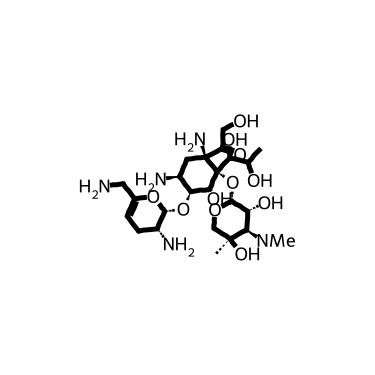 CN[C@@H]1[C@@H](O)[C@@H](O[C@]2(C(O)C(C)O)[C@@H](O)[C@H](O[C@H]3OC(CN)=CC[C@H]3N)[C@@H](N)C[C@]2(N)C(=O)CO)OC[C@]1(C)O